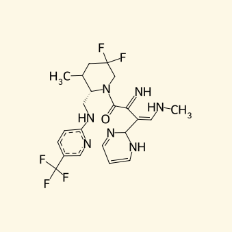 CN/C=C(\C(=N)C(=O)N1CC(F)(F)CC(C)[C@H]1CNc1ccc(C(F)(F)F)cn1)C1N=CC=CN1